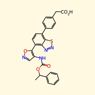 CC(OC(=O)Nc1cnoc1-c1ccc(-c2ccc(CC(=O)O)cc2)c2snnc12)c1ccccc1